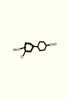 COc1ccc(C2CCC(C=O)CC2)cc1Cl